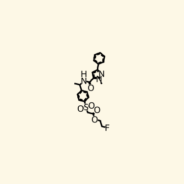 CC(NC(=O)c1cc(-c2ccccc2)nn1C)c1ccc(S(=O)(=O)CC(=O)OCCF)cc1